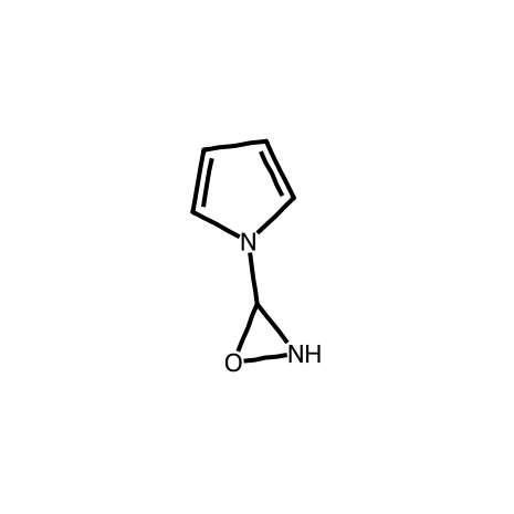 c1ccn(C2NO2)c1